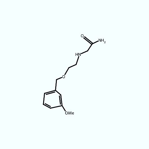 COc1cccc(COCCNCC(N)=O)c1